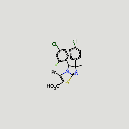 CC(C)C1=C(C(=O)O)SC2=NC(C)(c3ccc(Cl)cc3)C(c3ccc(Cl)cc3F)N21